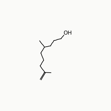 C=C(C)CCCC(C)CCCO